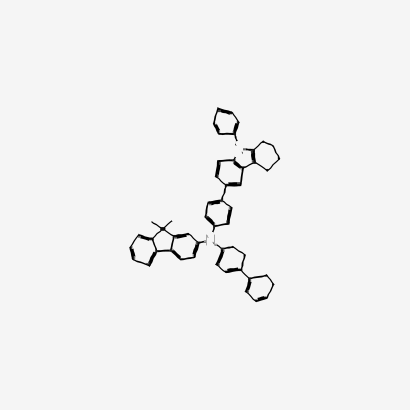 CC1(C)c2ccccc2-c2ccc(N(C3=CC=C(C4=CC=CCC4)CC3)c3ccc(-c4ccc5c(c4)c4c(n5-c5ccccc5)CCCC4)cc3)cc21